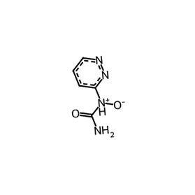 NC(=O)[NH+]([O-])c1cccnn1